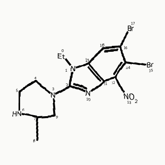 CCn1c(N2CCNC(C)C2)nc2c([N+](=O)[O-])c(Br)c(Br)cc21